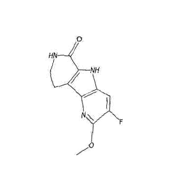 COc1nc2c3c([nH]c2cc1F)C(=O)NCC3